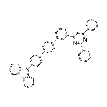 c1ccc(-c2cc(-c3cccc(-c4ccc(-c5ccc(-n6c7ccccc7c7ccccc76)cc5)cc4)c3)nc(-c3ccccc3)n2)cc1